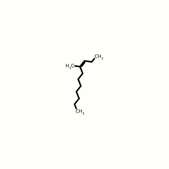 CCC=C(C)CCCCCCC